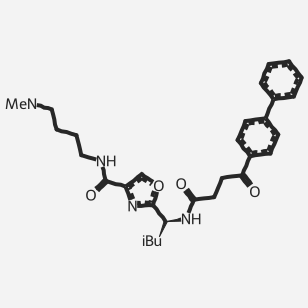 CC[C@H](C)[C@H](NC(=O)CCC(=O)c1ccc(-c2ccccc2)cc1)c1nc(C(=O)NCCCCNC)co1